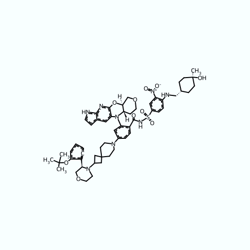 CC(C)(C)Oc1ccccc1[C@@H]1COCCN1C1CC2(CCN(c3ccc(C(=O)NS(=O)(=O)c4ccc(NC[C@H]5CC[C@](C)(O)CC5)c([N+](=O)[O-])c4)c(N4c5cc6cc[nH]c6nc5O[C@H]5COCC[C@@H]54)c3)CC2)C1